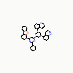 c1ccc(-c2nc(-c3cc(-c4cccc5ncccc45)cc(-c4cccc5ncccc45)c3)cc(-c3cccc4c3oc3ccccc34)n2)cc1